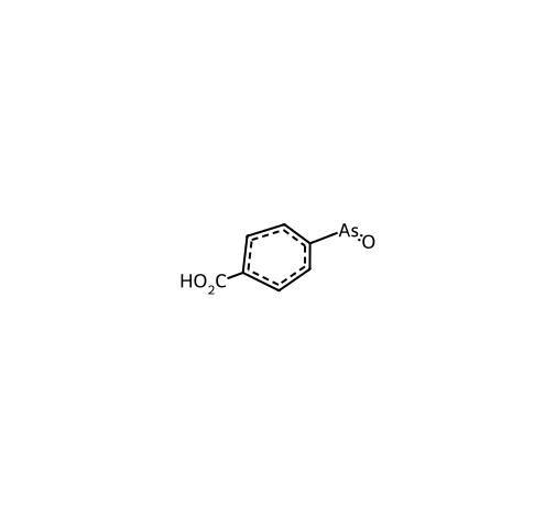 O=[As]c1ccc(C(=O)O)cc1